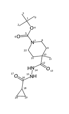 CC(C)(C)OC(=O)N1CCC(C)(C(=O)NNC(=O)C2CC2)CC1